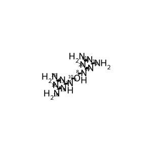 Nc1nc(N)nc(NCOCNc2nc(N)nc(N)n2)n1